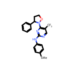 CSc1ccc(Nc2ncc(C(F)(F)F)c(N3OCCC3c3ccccc3)n2)cc1